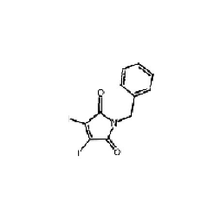 O=C1C(I)=C(I)C(=O)N1Cc1ccccc1